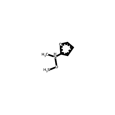 C[SiH](O[SiH3])c1ccco1